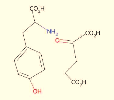 NC(Cc1ccc(O)cc1)C(=O)O.O=C(O)CCC(=O)C(=O)O